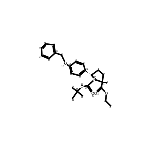 CCOC(=O)[C@@]1(C)CC[C@@H](c2ccc(OCc3ccccc3)cc2)N1C(=O)OC(C)(C)C